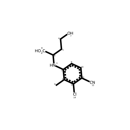 Cc1c(NC(CCO)C(=O)O)ccc(C#N)c1Cl